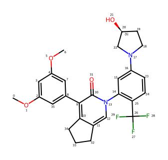 COc1cc(OC)cc(-c2c3c(cn(-c4cc(N5CC[C@H](O)C5)ccc4C(F)(F)F)c2=O)CCC3)c1